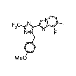 COc1ccc(Cn2nc(C(F)(F)F)nc2-c2cn3ccc(C)c(F)c3n2)cc1